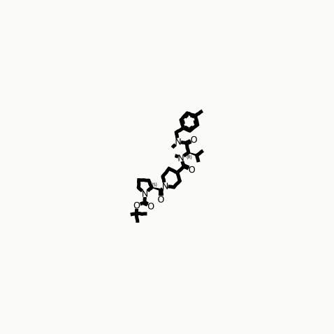 Cc1ccc(CN(C)C(=O)[C@@H](C(C)C)N(C)C(=O)C2CCN(C(=O)[C@@H]3CCCN3C(=O)OC(C)(C)C)CC2)cc1